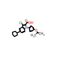 CC(C)Oc1ccc(-n2c(C(=O)O)c(Cl)c3cc(C4CCCCC4)ccc32)cc1